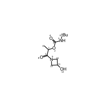 CC(OC(=O)NC(C)(C)C)C(=O)N1CC(O)C1